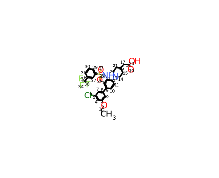 CCOc1cc(Cl)cc(-c2ccc(N3CCC(CC(=O)O)CC3)c(NS(=O)(=O)c3cccc(C(F)(F)F)c3)c2)c1